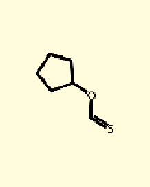 S=COC1CCCC1